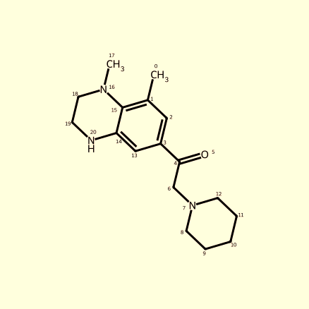 Cc1cc(C(=O)CN2CCCCC2)cc2c1N(C)CCN2